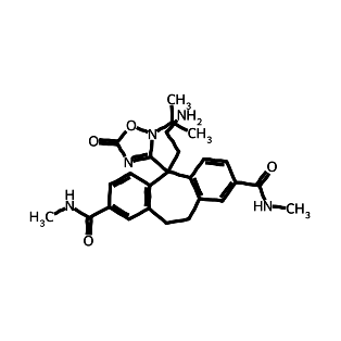 CNC(=O)c1ccc2c(c1)CCc1cc(C(=O)NC)ccc1C2(CCN)c1nc(=O)on1C(C)C